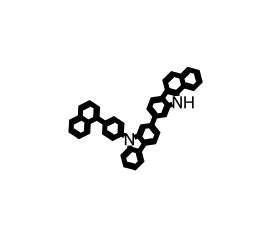 c1ccc2c(-c3ccc(-n4c5ccccc5c5ccc(-c6ccc7c(c6)[nH]c6c8ccccc8ccc76)cc54)cc3)cccc2c1